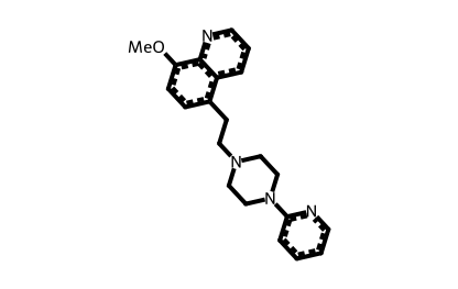 COc1ccc(CCN2CCN(c3ccccn3)CC2)c2cccnc12